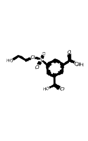 O=C(O)c1cc(C(=O)O)cc(S(=O)(=O)OCCO)c1